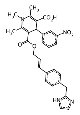 CC1=C(C(=O)O)C(c2cccc([N+](=O)[O-])c2)C(C(=O)OCC=Cc2ccc(Cc3ncc[nH]3)cc2)=C(C)N1C